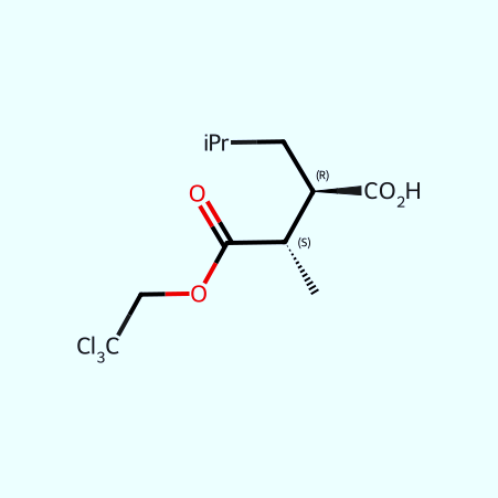 CC(C)C[C@@H](C(=O)O)[C@H](C)C(=O)OCC(Cl)(Cl)Cl